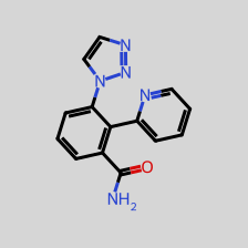 NC(=O)c1cccc(-n2ccnn2)c1-c1ccccn1